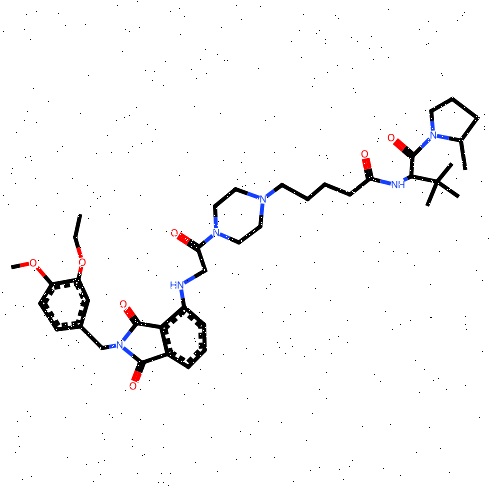 CCOc1cc(CN2C(=O)c3cccc(NCC(=O)N4CCN(CCCCC(=O)NC(C(=O)N5CCCC5C)C(C)(C)C)CC4)c3C2=O)ccc1OC